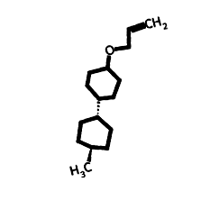 C=CCOC1CCC([C@H]2CC[C@H](C)CC2)CC1